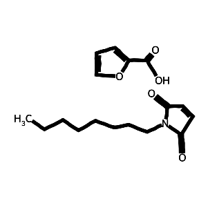 CCCCCCCCN1C(=O)C=CC1=O.O=C(O)c1ccco1